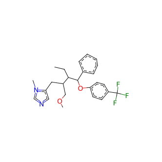 CCC(C(COC)Cc1cncn1C)C(Oc1ccc(C(F)(F)F)cc1)c1ccccc1